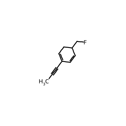 CC#CC1=CCC(CF)C=C1